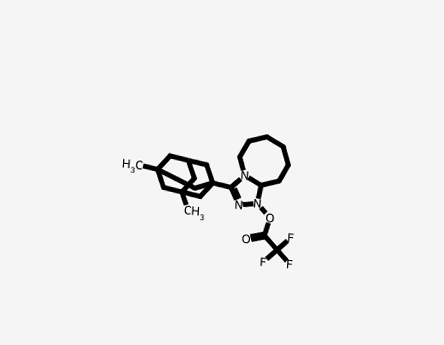 CC12CC3CC(C)(C1)CC(C1=NN(OC(=O)C(F)(F)F)C4CCCCCCN14)(C3)C2